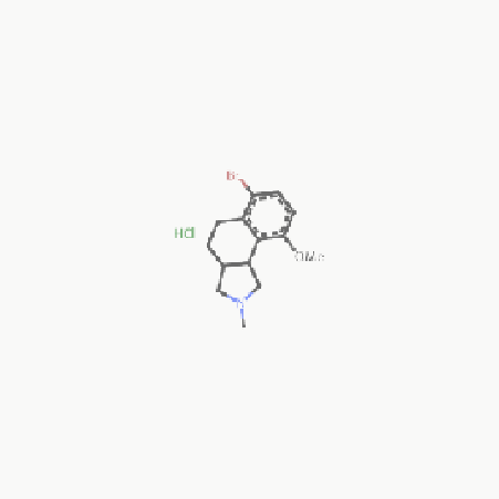 COc1ccc(Br)c2c1C1CN(C)CC1CC2.Cl